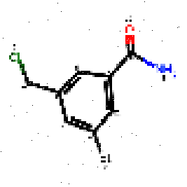 CCc1cc(CCl)cc(C(N)=O)c1